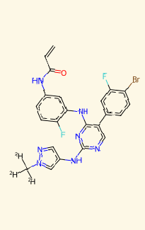 [2H]C([2H])([2H])n1cc(Nc2ncc(-c3ccc(Br)c(F)c3)c(Nc3cc(NC(=O)C=C)ccc3F)n2)cn1